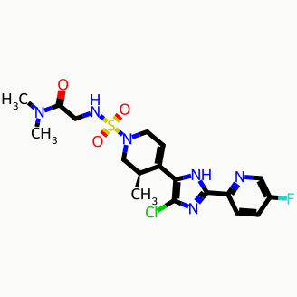 C[C@H]1CN(S(=O)(=O)NCC(=O)N(C)C)CC=C1c1[nH]c(-c2ccc(F)cn2)nc1Cl